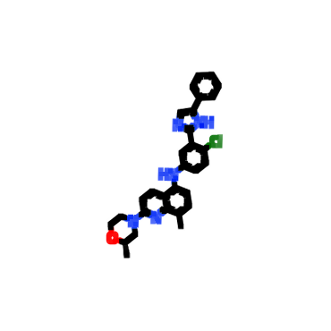 Cc1ccc(Nc2ccc(Cl)c(-c3ncc(-c4ccccc4)[nH]3)c2)c2ccc(N3CCO[C@H](C)C3)nc12